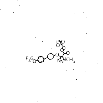 CC(C)OC(=O)OOC(=O)c1c(OC2CCC(c3ccc(OC(F)(F)F)cc3)CC2)nnn1C